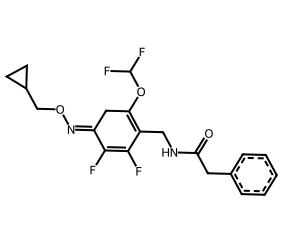 O=C(Cc1ccccc1)NCC1=C(OC(F)F)CC(=NOCC2CC2)C(F)=C1F